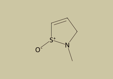 CN1CC=C[S+]1[O-]